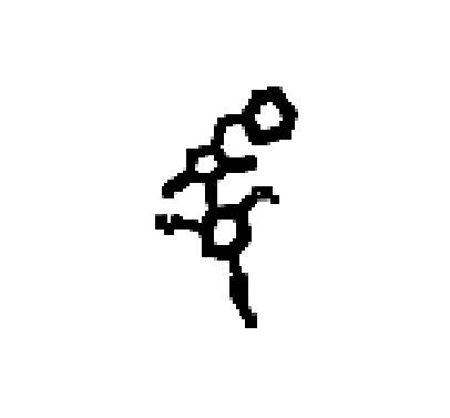 Cc1cc(C#CCl)cc(C)c1C1C(=O)CC(Cc2ccccn2)C1=O